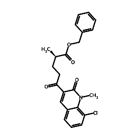 C[C@H](CCC(=O)c1cc2cccc(Cl)c2n(C)c1=O)C(=O)OCc1ccccc1